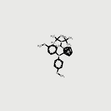 COc1ccc(P(c2ccc(OC)cc2)[C]23[CH]4[CH]5[CH]6[C@]2(C(C)P(C(C)(C)C)C(C)(C)C)[Fe]54632789[CH]3[CH]2[CH]7[CH]8[CH]39)cc1